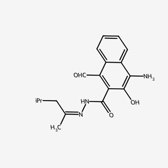 CC(CC(C)C)=NNC(=O)c1c(O)c(N)c2ccccc2c1C=O